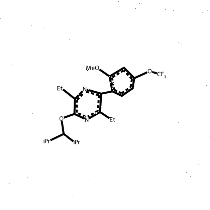 CCc1nc(-c2ccc(OC(F)(F)F)cc2OC)c(CC)nc1OC(C(C)C)C(C)C